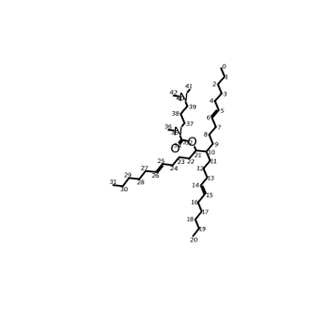 CCCCCC=CCCCC(CCCC=CCCCCC)C(CCCC=CCCCCC)OC(=O)N(C)CCCN(C)C